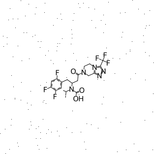 CC(C)N(C(=O)O)C(CC(=O)N1CCn2c(nnc2C(F)(F)F)C1)Cc1cc(F)c(F)cc1F